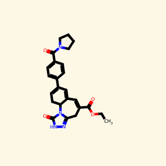 CCOC(=O)C1=CC2=CC(c3ccc(C(=O)N4CCCC4)cc3)=CCC2n2c(n[nH]c2=O)C1